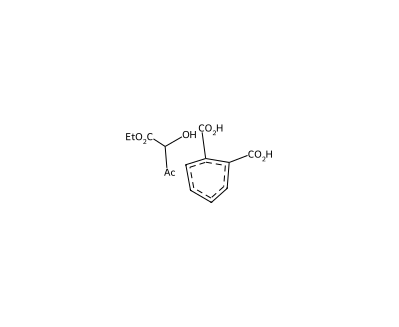 CCOC(=O)C(O)C(C)=O.O=C(O)c1ccccc1C(=O)O